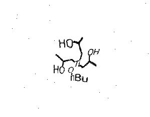 CCCC[O][Ti]([CH2]C(C)O)([CH2]C(C)O)[CH2]C(C)O